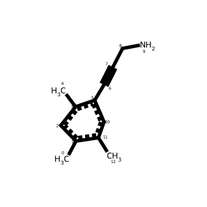 Cc1cc(C)c(C#CCN)cc1C